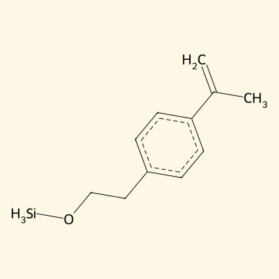 C=C(C)c1ccc(CCO[SiH3])cc1